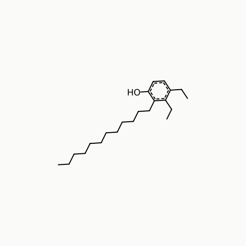 CCCCCCCCCCCCc1c(O)ccc(CC)c1CC